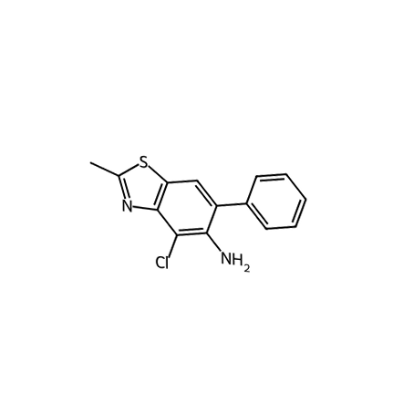 Cc1nc2c(Cl)c(N)c(-c3ccccc3)cc2s1